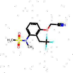 CN(c1cccc(OCC#N)c1CC(F)(F)F)S(C)(=O)=O